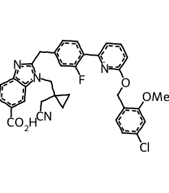 COc1cc(Cl)ccc1COc1cccc(-c2ccc(Cc3nc4ccc(C(=O)O)cc4n3CC3(CC#N)CC3)cc2F)n1